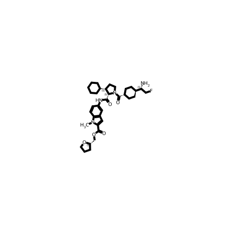 Cn1c(C(=O)OC[C@@H]2CCCO2)cc2cc(NC(=O)[C@@H]3[C@H](C4CCCCC4)CCN3C(=O)[C@H]3CC[C@H]([C@H](N)CF)CC3)ccc21